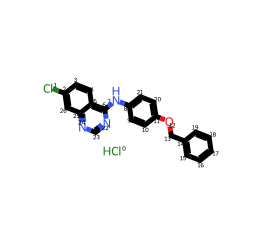 Cl.Clc1ccc2c(Nc3ccc(OCc4ccccc4)cc3)ncnc2c1